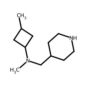 CC1CC(N(C)CC2CCNCC2)C1